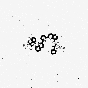 CO[C@@](C)(C(=O)Oc1cccc2ccc(-c3cccc(-c4ccc5cccc(OC(=O)[C@](CO)(c6ccccc6)C(F)(F)F)c5n4)n3)nc12)c1ccccc1